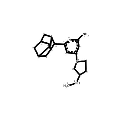 CNC1CCN(c2cc(N)nc(C3C4CC5CC(C4)CC3C5)c2)C1